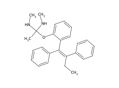 CC/C(=C(\c1ccccc1)c1ccccc1OC(C)(NC)NC)c1ccccc1